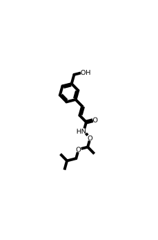 CC(C)COC(C)ONC(=O)C=Cc1cccc(CO)c1